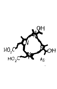 CC1=C(CCC(=O)O)c2cc3[nH]c(cc4nc(cc5[nH]c(cc1n2)c(C)c5C(C)O)C(C)=C4C(C)O)c(C)c3CCC(=O)O.[As]